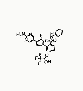 Nc1ncc(-c2ccc(-c3ccccc3S(=O)(=O)Nc3ccccc3)cc2F)cn1.O=C(O)C(F)(F)F